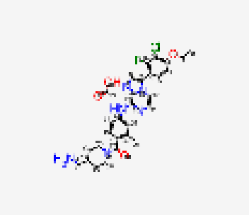 CCOc1ccc(-c2cnc3c(Nc4ccc(C(=O)N5CCC(CN)CC5)c(C)c4)nccn23)c(F)c1Cl.O=CO